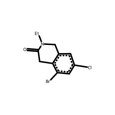 CCN1Cc2cc(Cl)cc(Br)c2CC1=O